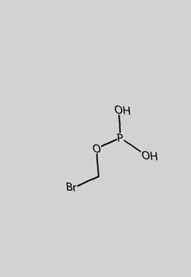 OP(O)OCBr